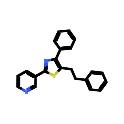 c1ccc(CCc2sc(-c3cccnc3)nc2-c2ccccc2)cc1